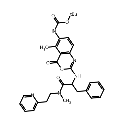 Cc1c(NC(=O)OC(C)(C)C)ccc2nc(NC(Cc3ccccc3)C(=O)N(C)CCc3ccccn3)oc(=O)c12